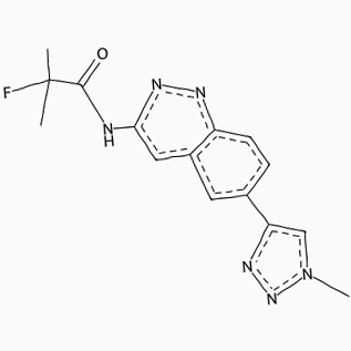 Cn1cc(-c2ccc3nnc(NC(=O)C(C)(C)F)cc3c2)nn1